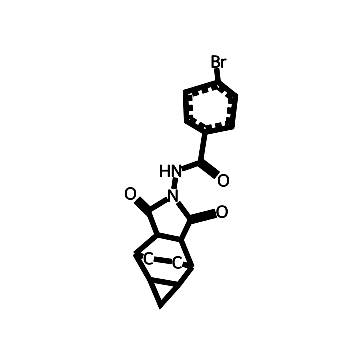 O=C(NN1C(=O)C2C3CCC(C4CC43)C2C1=O)c1ccc(Br)cc1